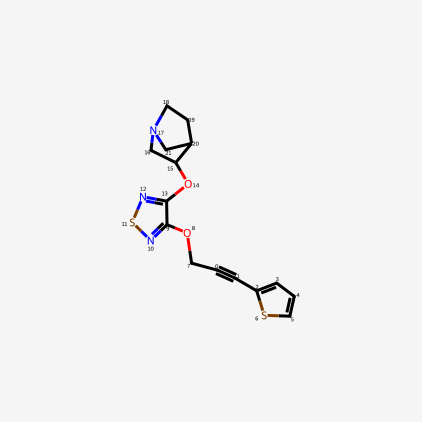 C(#Cc1cccs1)COc1nsnc1OC1CN2CCC1C2